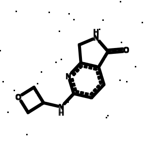 O=C1NCc2nc(NC3COC3)ccc21